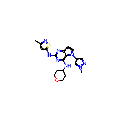 Cc1cc(Nc2nc(NC3CCOCC3)c3c(ccn3-c3cnn(C)c3)n2)sn1